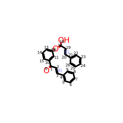 O=C(/C=C/c1ccccc1)c1ccccc1.O=C(O)/C=C/c1ccccc1